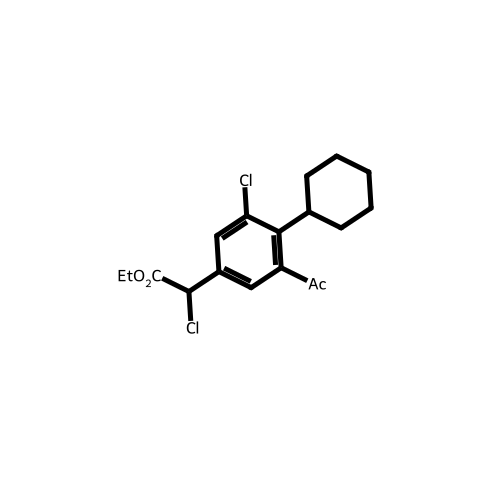 CCOC(=O)C(Cl)c1cc(Cl)c(C2CCCCC2)c(C(C)=O)c1